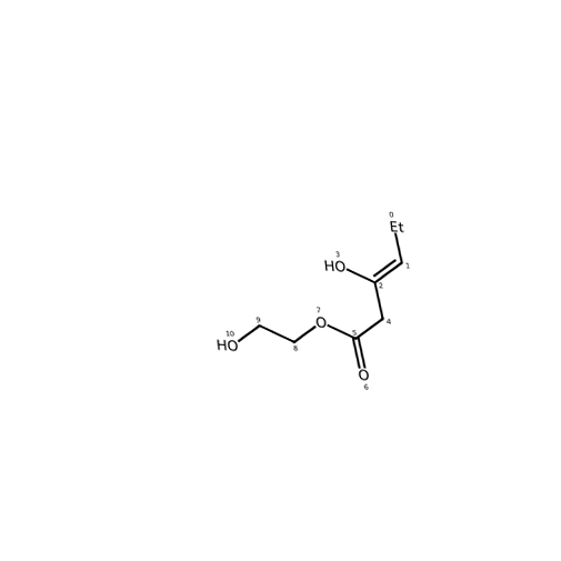 CCC=C(O)CC(=O)OCCO